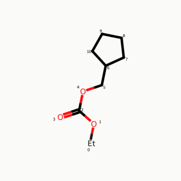 [CH2]COC(=O)OCC1CCCC1